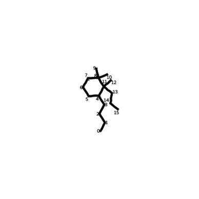 CCCCC1CC[C]C(C)(C)C1(C)CCC